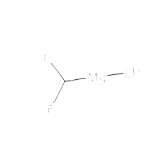 F[CH](F)[Mg][Cl]